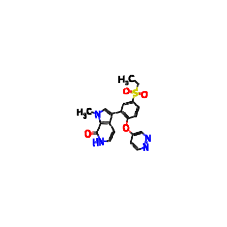 CCS(=O)(=O)c1ccc(Oc2ccnnc2)c(-c2cn(C)c3c(=O)[nH]ccc23)c1